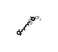 CC1=C(/C=C/C(C)=C/C=C/C(C)=C/C(=O)Oc2ccc(C(F)(F)F)cc2C)C(C)(C)CCC1